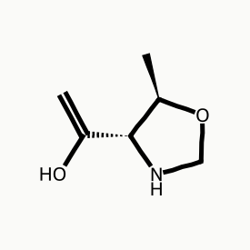 C=C(O)[C@H]1NCO[C@@H]1C